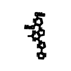 COc1ccc(N2CCc3c2nc(C)nc3-n2ccc(-c3nccs3)n2)c(OC)n1